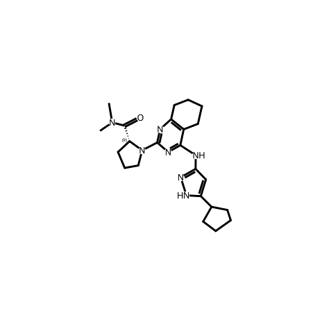 CN(C)C(=O)[C@H]1CCCN1c1nc2c(c(Nc3cc(C4CCCC4)[nH]n3)n1)CCCC2